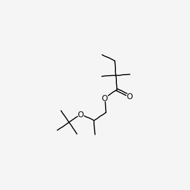 CCC(C)(C)C(=O)OCC(C)OC(C)(C)C